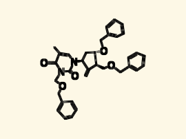 C=C1[C@H](COCc2ccccc2)[C@@H](OCc2ccccc2)C[C@@H]1n1cc(C)c(=O)n(COCc2ccccc2)c1=O